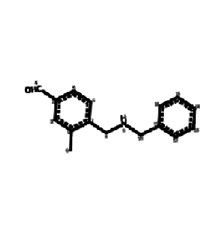 Cc1cc(C=O)ccc1CNCc1ccccc1